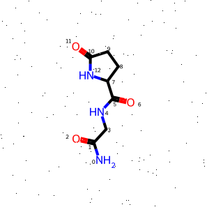 NC(=O)CNC(=O)C1CCC(=O)N1